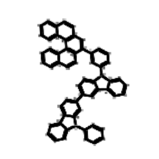 c1ccc(-n2c3ccccc3c3ccc(-c4ccc5c(c4)c4ccccc4n5-c4cccc(-c5cc6ccc7ccccc7c6c6c5ccc5ccccc56)c4)cc32)cc1